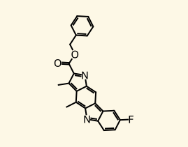 CC1=c2c(cc3c(c2C)N=c2ccc(F)cc2=3)N=C1C(=O)OCc1ccccc1